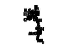 COc1cc(NC(=O)CCCCNC(=O)C[C@@H]2N=C(c3ccc(Cl)cc3)c3c(sc(C)c3C)-n3c(C)nnc32)ccc1C#CCN